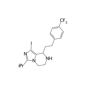 CC(C)c1nc(I)c2n1CCNC2CCc1ccc(C(F)(F)F)cc1